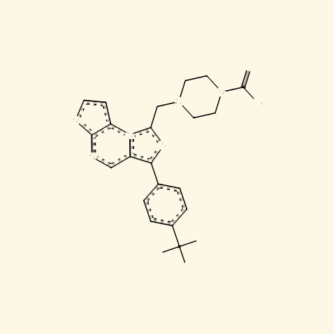 CC(C)(O)c1ccc(-c2nc(CN3CCN(C(=O)O)CC3)n3c2cnc2[nH]ccc23)cc1